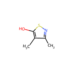 Cc1nsc(O)c1C